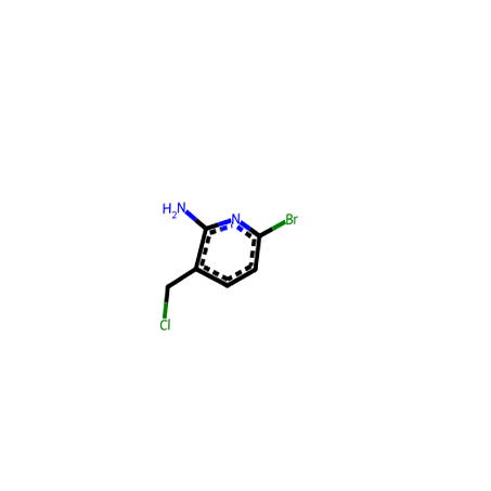 Nc1nc(Br)ccc1CCl